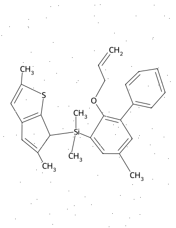 C=CCOc1c(-c2ccccc2)cc(C)cc1[Si](C)(C)C1C(C)=Cc2cc(C)sc21